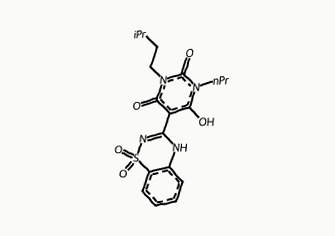 CCCn1c(O)c(C2=NS(=O)(=O)c3ccccc3N2)c(=O)n(CCC(C)C)c1=O